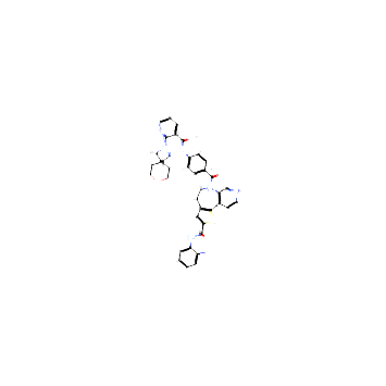 Nc1ccccc1NC(=O)c1cc2c(s1)-c1ccncc1N(C(=O)c1ccc(NC(=O)c3cccnc3N3CC4(CCOCC4)C3)cc1)CC2